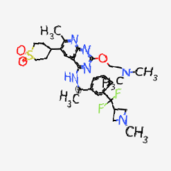 Cc1nc2nc(OCCN(C)C)nc(N[C@H](C)c3cccc(C(F)(F)C4CN(C)C4)c3)c2cc1C1CCS(=O)(=O)CC1